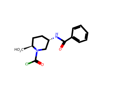 O=C(N[C@H]1CC[C@H](C(=O)O)N(C(=O)Cl)C1)c1ccccc1